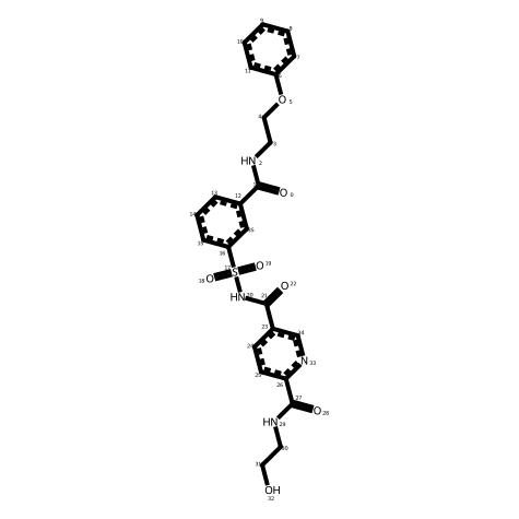 O=C(NCCOc1ccccc1)c1cccc(S(=O)(=O)NC(=O)c2ccc(C(=O)NCCO)nc2)c1